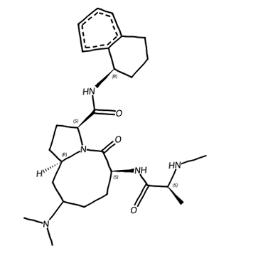 CN[C@@H](C)C(=O)N[C@H]1CCC(N(C)C)C[C@H]2CC[C@@H](C(=O)N[C@@H]3CCCc4ccccc43)N2C1=O